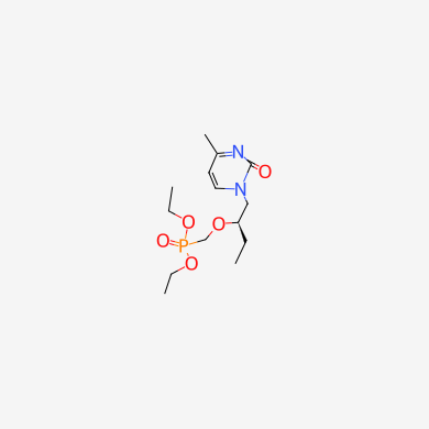 CCOP(=O)(CO[C@H](CC)Cn1ccc(C)nc1=O)OCC